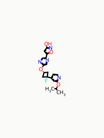 CC(C)Oc1cc([C@]2(F)C[C@H](Oc3cnc(-c4cc(O)no4)cn3)C2)ccn1